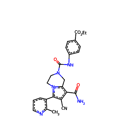 CCOC(=O)c1ccc(NC(=O)N2CCn3c(c(C(N)=O)c(C#N)c3-c3cccnc3C)C2)cc1